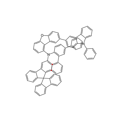 c1ccc(-c2ccc(N(c3ccc4c(c3)-c3ccccc3C43c4ccccc4-c4ccccc43)c3cccc4oc5ccc(-c6ccc7c(c6)c6ccccc6n7-c6ccccc6)cc5c34)c(-c3ccccc3)c2)cc1